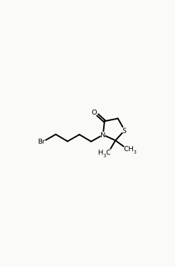 CC1(C)SCC(=O)N1CCCCBr